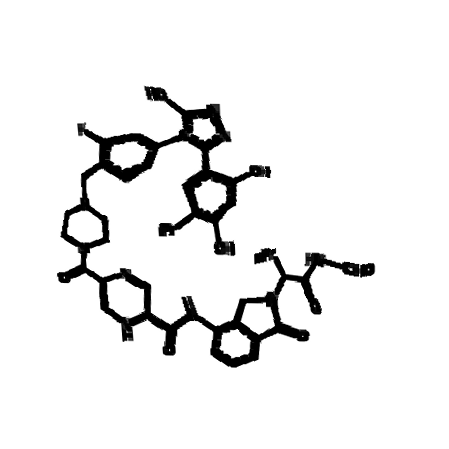 CCCC(C(=O)NC=O)N1Cc2c(NC(=O)C3C=NC(C(=O)N4CCN(Cc5ccc(-n6c(O)nnc6-c6cc(C(C)C)c(O)cc6O)cc5F)CC4)=CN3)cccc2C1=O